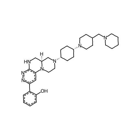 Oc1ccccc1-c1cc2c(nn1)NC[C@H]1CN([C@H]3CC[C@@H](N4CCC(CN5CCCCC5)CC4)CC3)CCN21